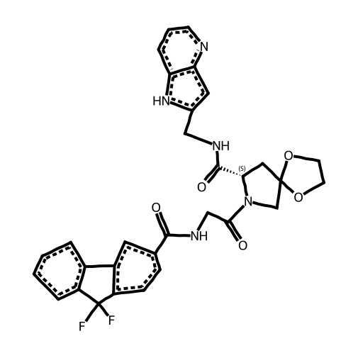 O=C(NCC(=O)N1CC2(C[C@H]1C(=O)NCc1cc3ncccc3[nH]1)OCCO2)c1ccc2c(c1)-c1ccccc1C2(F)F